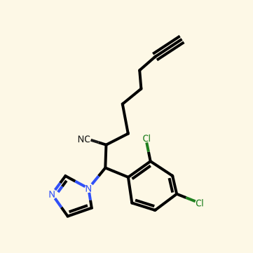 C#CCCCCC(C#N)C(c1ccc(Cl)cc1Cl)n1ccnc1